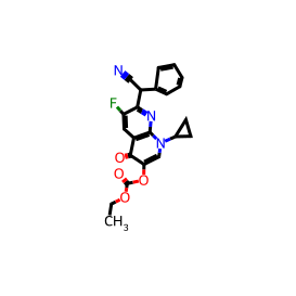 CCOC(=O)Oc1cn(C2CC2)c2nc(C(C#N)c3ccccc3)c(F)cc2c1=O